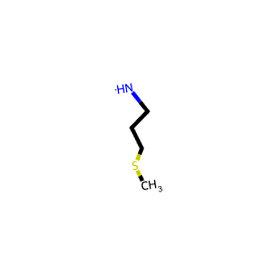 CSCCC[NH]